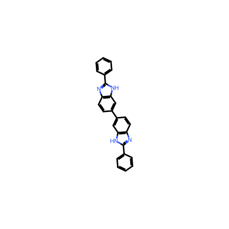 c1ccc(-c2nc3ccc(-c4ccc5nc(-c6ccccc6)[nH]c5c4)cc3[nH]2)cc1